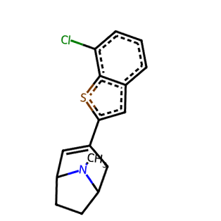 CN1C2C=C(c3cc4cccc(Cl)c4s3)CC1CC2